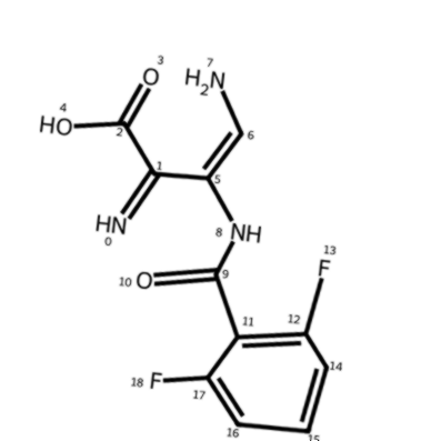 N=C(C(=O)O)/C(=C\N)NC(=O)c1c(F)cccc1F